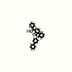 O=C1N(c2ccc(-c3ccccc3)cc2)c2ccccc2C12CC[N]C(C(O)c1ccccn1)C2